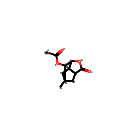 CC(C)(C)C(=O)OC1C2OC(=O)C3CC1(C)CC32